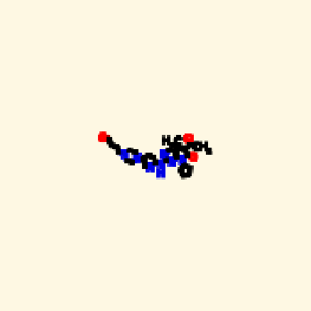 CC(=O)c1c(C)c2cnc(Nc3ccc(N4CCN(CCCC=O)CC4)cn3)nc2n(C2CCCC2)c1=O